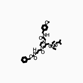 CC[Si](CC)(OCC(C)C)OCC1CN(C(=O)CCNC(=O)OCc2ccccc2)CCN1CC(=O)NCc1ccc(OC)cc1